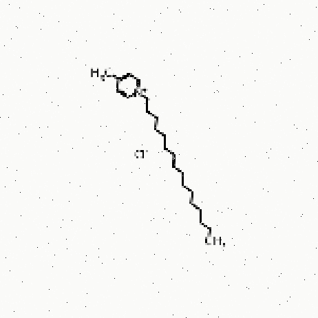 CCCCCCCCCCCCCCCC[n+]1ccc(C)cc1.[Cl-]